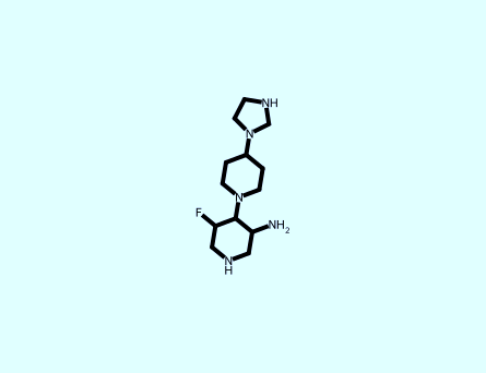 NC1CNCC(F)C1N1CCC(N2CCNC2)CC1